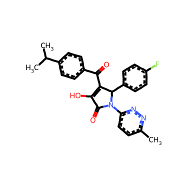 Cc1ccc(N2C(=O)C(O)=C(C(=O)c3ccc(C(C)C)cc3)C2c2ccc(F)cc2)nn1